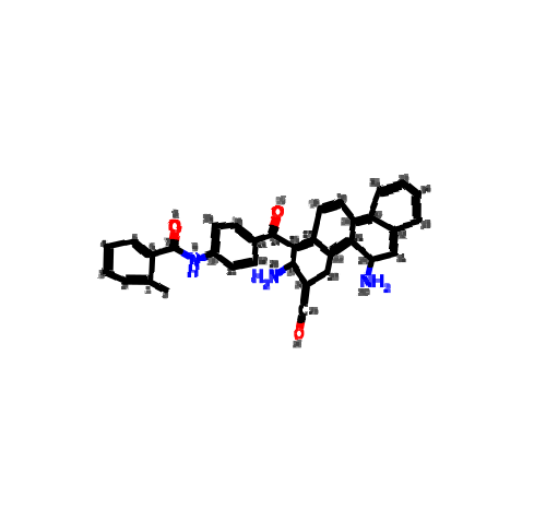 Cc1ccccc1C(=O)Nc1ccc(C(=O)C2=c3ccc4c(c3CC(=C=O)C2N)C(N)C=c2ccccc2=4)cc1